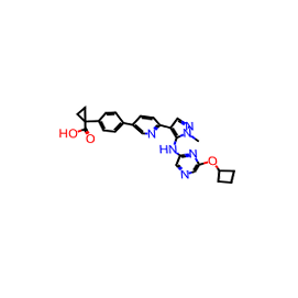 Cn1ncc(-c2ccc(-c3ccc(C4(C(=O)O)CC4)cc3)cn2)c1Nc1cncc(OC2CCC2)n1